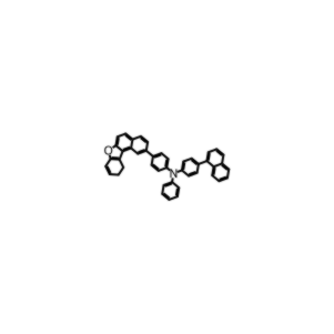 C1=Cc2oc3ccc4ccc(-c5ccc(N(c6ccccc6)c6ccc(-c7cccc8ccccc78)cc6)cc5)cc4c3c2CC1